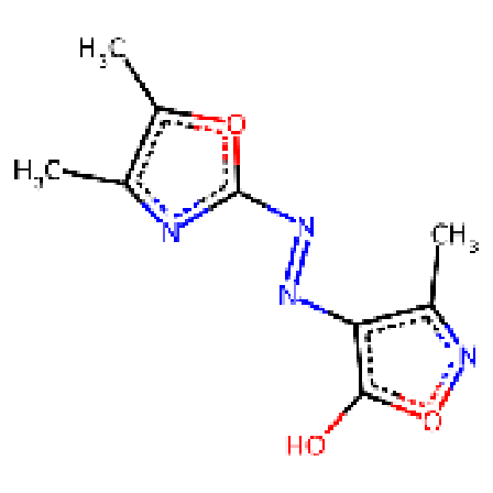 Cc1nc(N=Nc2c(C)noc2O)oc1C